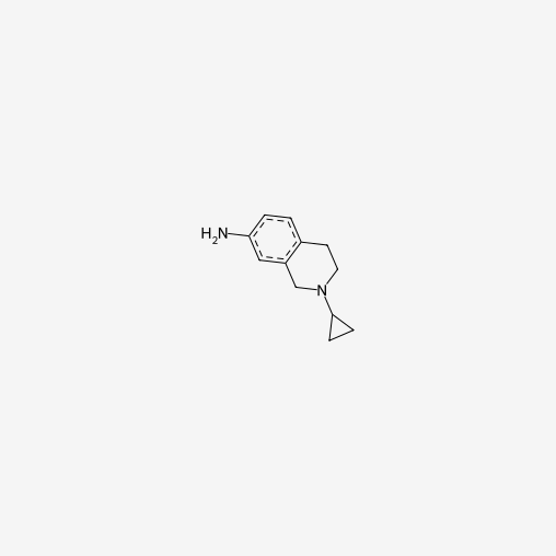 Nc1ccc2c(c1)CN(C1CC1)CC2